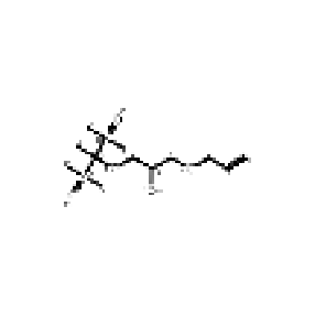 C=CCOCC(O)COC(C)(P(C)(C)=O)P(C)(C)=O